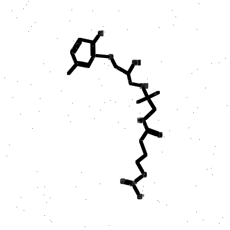 Cc1ccc(Cl)c(OCC(O)CNC(C)(C)CNC(=O)CCCO[N+](=O)[O-])c1